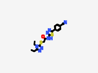 CCc1nnc(SCC(=O)Nc2nnc(-c3ccc(C#N)cc3)s2)n1CC